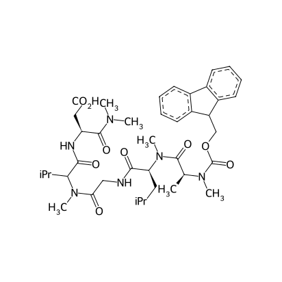 CC(C)C[C@@H](C(=O)NCC(=O)N(C)C(C(=O)N[C@@H](CC(=O)O)C(=O)N(C)C)C(C)C)N(C)C(=O)[C@H](C)N(C)C(=O)OCC1c2ccccc2-c2ccccc21